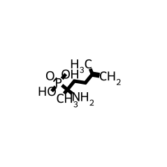 C=C(C)CCC(C)(N)P(=O)(O)O